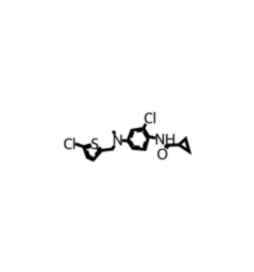 CN(Cc1ccc(Cl)s1)c1ccc(NC(=O)C2CC2)c(Cl)c1